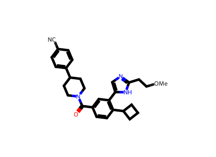 COCCc1ncc(-c2cc(C(=O)N3CCC(c4ccc(C#N)cc4)CC3)ccc2C2CCC2)[nH]1